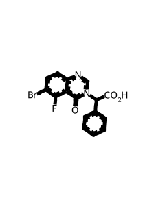 O=C(O)C(c1ccccc1)n1cnc2ccc(Br)c(F)c2c1=O